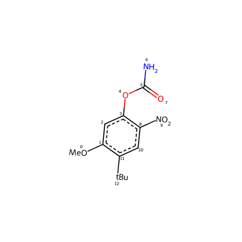 COc1cc(OC(N)=O)c([N+](=O)[O-])cc1C(C)(C)C